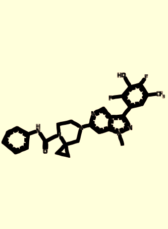 Cn1nc(-c2cc(C(F)(F)F)c(F)c(O)c2F)c2cnc(N3CCN(C(=O)Nc4ccccc4)C4(CC4)C3)cc21